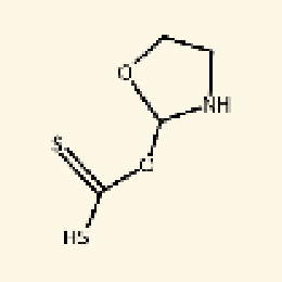 S=C(S)OC1NCCO1